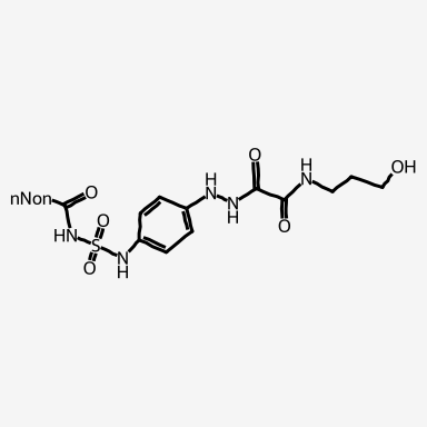 CCCCCCCCCC(=O)NS(=O)(=O)Nc1ccc(NNC(=O)C(=O)NCCCO)cc1